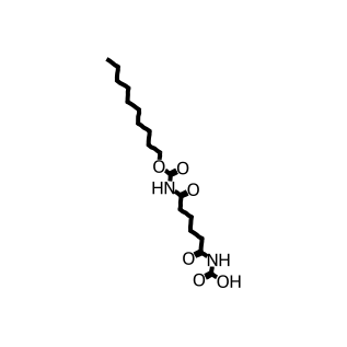 CCCCCCCCCCOC(=O)NC(=O)CCCCC(=O)NC(=O)O